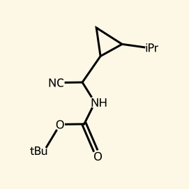 CC(C)C1CC1C(C#N)NC(=O)OC(C)(C)C